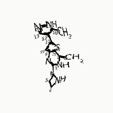 C=C1NC([C@@H]2CCN2)=Nc2cc(-c3cn[nH]c3C)sc21